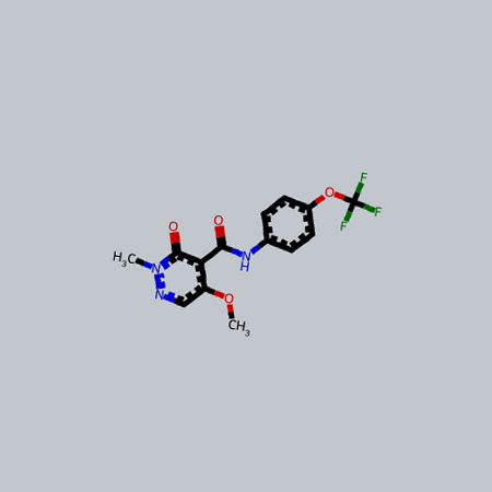 COc1cnn(C)c(=O)c1C(=O)Nc1ccc(OC(F)(F)F)cc1